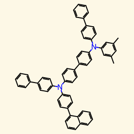 Cc1cc(C)cc(N(c2ccc(-c3ccccc3)cc2)c2ccc(-c3ccc(N(c4ccc(-c5ccccc5)cc4)c4ccc(-c5cccc6ccccc56)cc4)cc3)cc2)c1